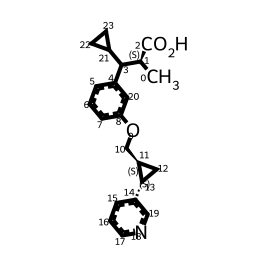 C[C@H](C(=O)O)C(c1cccc(OC[C@H]2C[C@@H]2c2cccnc2)c1)C1CC1